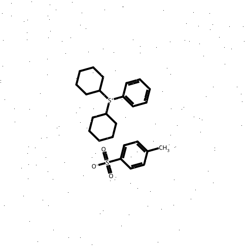 Cc1ccc(S(=O)(=O)[O-])cc1.c1ccc([S+](C2CCCCC2)C2CCCCC2)cc1